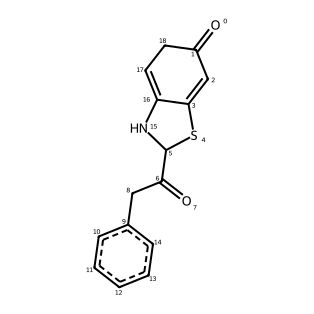 O=C1C=C2SC(C(=O)Cc3ccccc3)NC2=CC1